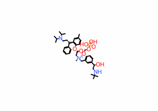 Cc1ccc(OC(=O)C[N+](C)(C)Cc2cc(C(O)CNC(C)(C)C)ccc2OCOP(=O)(O)O)c([C@H](CCN(C(C)C)C(C)C)c2ccccc2)c1